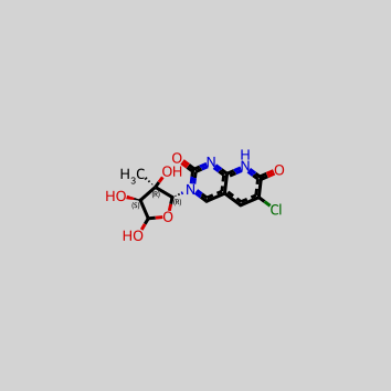 C[C@@]1(O)[C@H](O)C(O)O[C@H]1n1cc2cc(Cl)c(=O)[nH]c2nc1=O